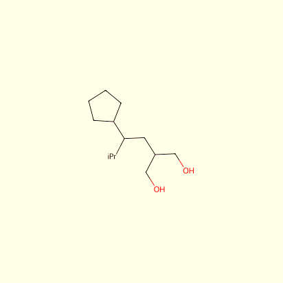 CC(C)C(CC(CO)CO)C1CCCC1